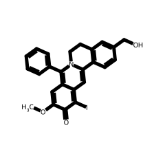 COc1cc2c(-c3ccccc3)n3c(cc-2c(I)c1=O)-c1ccc(CO)cc1CC3